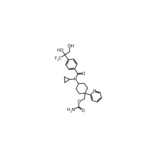 NC(=O)OCC1(c2ccccn2)CCC(N(C(=O)c2ccc(C(O)(CO)C(F)(F)F)cc2)C2CC2)CC1